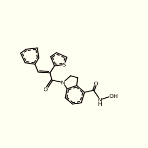 O=C(NO)c1cccc2c1CCN2C(=O)/C(=C/c1ccccc1)c1cccs1